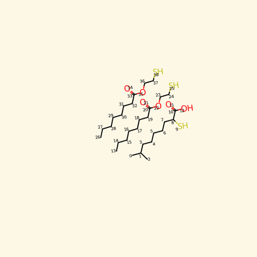 CC(C)CCCCCC(S)C(=O)O.CCCCCCCC(=O)OCCS.CCCCCCCC(=O)OCCS